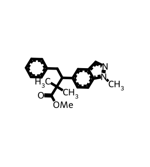 COC(=O)C(C)(C)C(Cc1ccccc1)c1ccc2c(cnn2C)c1